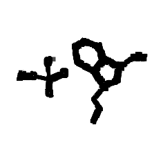 C=CCn1c[n+](CCCC)c2ccccc21.COS(=O)(=O)[O-]